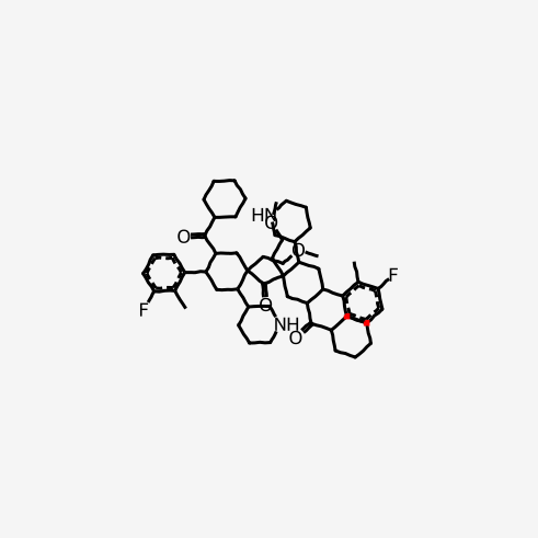 COCCC1(C(=O)C2(CCOC)CC(C(=O)C3CCCCC3)C(c3cccc(F)c3C)CC2C2CCCNC2)CC(C(=O)C2CCCCC2)C(c2cccc(F)c2C)CC1C1CCCNC1